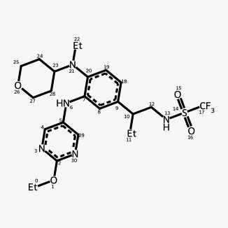 CCOc1ncc(Nc2cc(C(CC)CNS(=O)(=O)C(F)(F)F)ccc2N(CC)C2CCOCC2)cn1